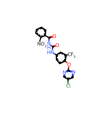 O=C(NC(=O)c1ccccc1[N+](=O)[O-])Nc1ccc(Oc2ncc(Cl)cn2)c(C(F)(F)F)c1